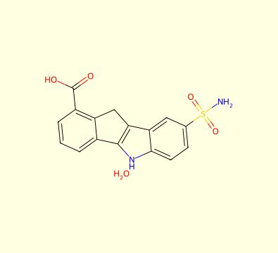 NS(=O)(=O)c1ccc2[nH]c3c(c2c1)Cc1c(C(=O)O)cccc1-3.O